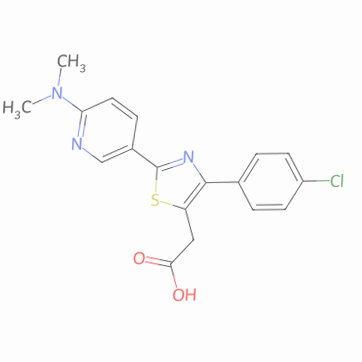 CN(C)c1ccc(-c2nc(-c3ccc(Cl)cc3)c(CC(=O)O)s2)cn1